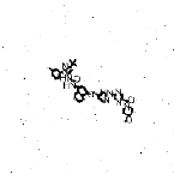 COC1CCN(C(=O)c2cnc(Nc3cc(COc4ccc(NC(=O)Nc5cc(C(C)(C)C)nn5-c5cccc(C)c5)c5ccccc45)ccn3)cn2)CC1